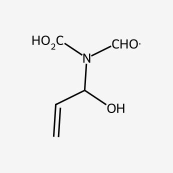 C=CC(O)N([C]=O)C(=O)O